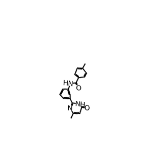 Cc1ccc(C(=O)Nc2cccc(-c3nc(C)cc(=O)[nH]3)c2)cc1